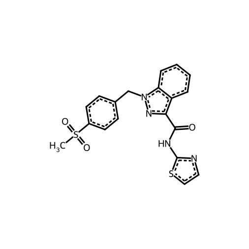 CS(=O)(=O)c1ccc(Cn2nc(C(=O)Nc3nccs3)c3ccccc32)cc1